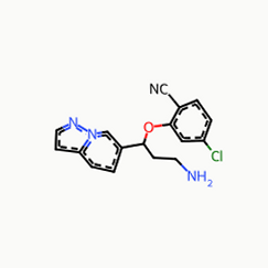 N#Cc1ccc(Cl)cc1OC(CCN)c1ccc2ccnn2c1